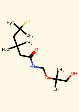 CC(C)(S)CC(C)(C)CC(=O)NCOC(C)(C)CO